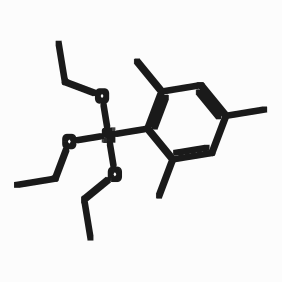 CCO[Si](OCC)(OCC)c1c(C)cc(C)cc1C